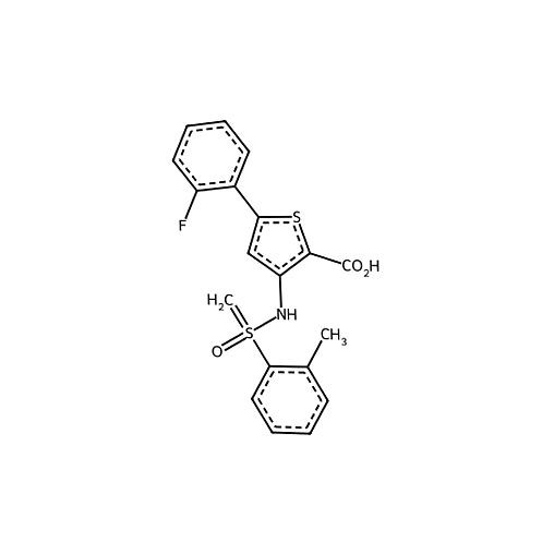 C=S(=O)(Nc1cc(-c2ccccc2F)sc1C(=O)O)c1ccccc1C